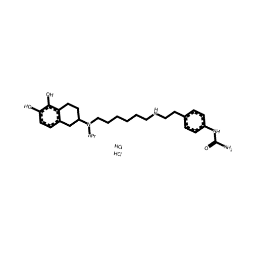 CCCN(CCCCCCNCCc1ccc(NC(N)=O)cc1)C1CCc2c(ccc(O)c2O)C1.Cl.Cl